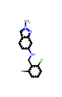 Cn1cc2ccc(NCc3c(F)cccc3Cl)cc2n1